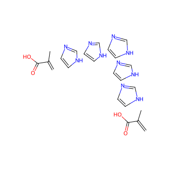 C=C(C)C(=O)O.C=C(C)C(=O)O.c1c[nH]cn1.c1c[nH]cn1.c1c[nH]cn1.c1c[nH]cn1.c1c[nH]cn1